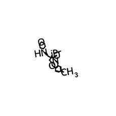 Cc1ccc2c(c1)CN1C(=O)C(CCNC3CCOCC3)(C(C)C)CC1O2